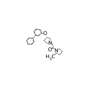 C[C@@H]1CCCN1C(=O)CN1CC[C@H](Oc2cccc(-c3ccccc3)c2)C1